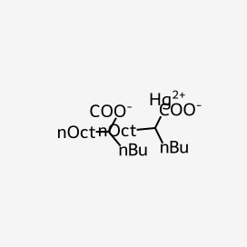 CCCCCCCCC(CCCC)C(=O)[O-].CCCCCCCCC(CCCC)C(=O)[O-].[Hg+2]